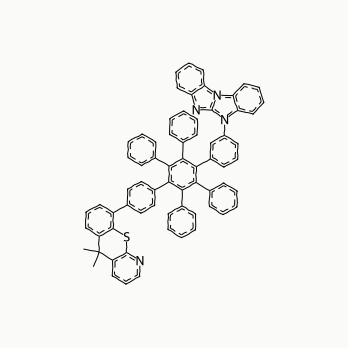 CC1(C)c2cccnc2Sc2c(-c3ccc(-c4c(-c5ccccc5)c(-c5ccccc5)c(-c5cccc(-n6c7ccccc7n7c8ccccc8nc67)c5)c(-c5ccccc5)c4-c4ccccc4)cc3)cccc21